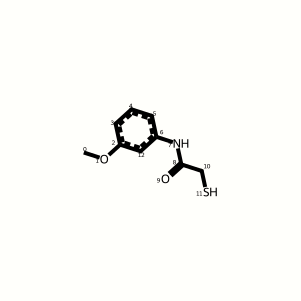 COc1cccc(NC(=O)CS)c1